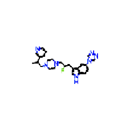 CC(CN1CCN(CC(F)Cc2c[nH]c3ccc(-n4cnnc4)cc23)CC1)c1cccnc1